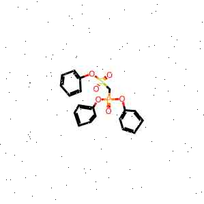 O=P(CS(=O)(=O)Oc1ccccc1)(Oc1ccccc1)Oc1ccccc1